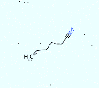 C=C[CH]CCC#N